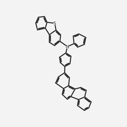 c1ccc(N(c2ccc(-c3ccc4ccc5c6ccccc6ccc5c4c3)cc2)c2ccc3c(c2)sc2ccccc23)cc1